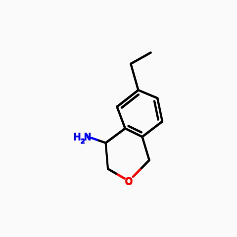 CCc1ccc2c(c1)C(N)COC2